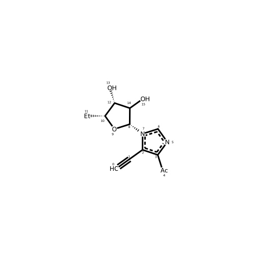 C#Cc1c(C(C)=O)ncn1[C@@H]1O[C@H](CC)[C@H](O)C1O